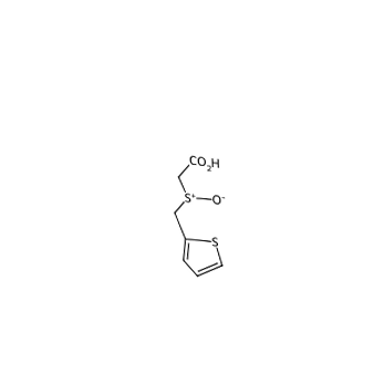 O=C(O)C[S+]([O-])Cc1cccs1